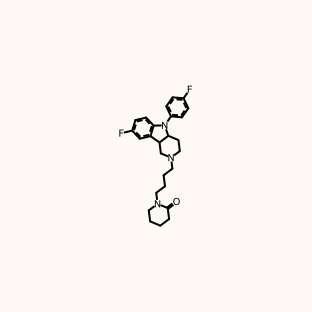 O=C1CCCCN1CCCCN1CCC2C(C1)c1cc(F)ccc1N2c1ccc(F)cc1